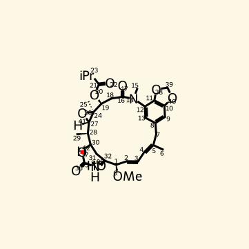 CO[C@@H]1/C=C/C=C(\C)Cc2cc3c(c(c2)N(C)C(=O)C[C@H](OC(=O)C(C)C)[C@]2(C)O[C@H]2[C@H](C)[C@@H]2C[C@@]1(O)NC(=O)O2)OCO3